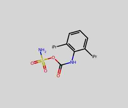 CC(C)c1cccc(C(C)C)c1NC(=O)OS(N)(=O)=O